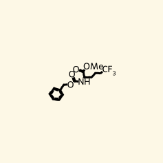 COC(=O)C(CCCC(F)(F)F)NC(=O)OCc1ccccc1